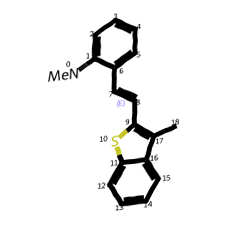 CNc1ccccc1/C=C/c1sc2ccccc2c1C